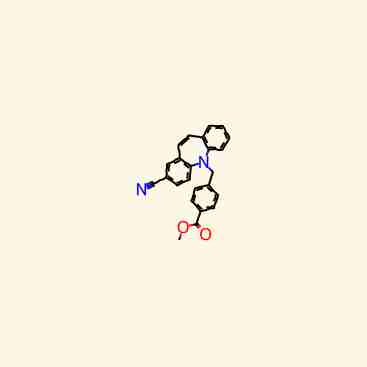 COC(=O)c1ccc(CN2c3ccccc3C=Cc3cc(C#N)ccc32)cc1